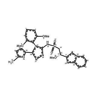 COc1cccc(OC)c1-n1c(NS(=O)(=O)C[C@@H](OC)c2cn3ccccc3n2)nnc1-c1ccc(C)o1